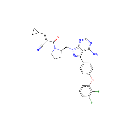 N#CC(=CC1CC1)C(=O)N1CCC[C@@H]1Cn1nc(-c2ccc(Oc3cccc(F)c3F)cc2)c2c(N)ncnc21